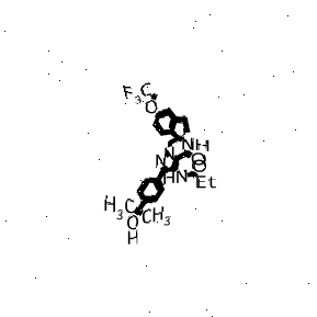 CCC(=O)Nc1c(-c2ccc(C(C)(C)O)cc2)nn2c1C(=O)N[C@@]1(CCc3cc(OCC(F)(F)F)ccc31)C2